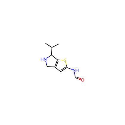 CC(C)C1NCc2cc(NC=O)sc21